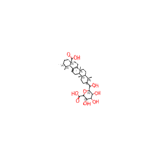 C[C@@H]1CC[C@]2(C(=O)O)CC[C@]3(C)C(=CCC4[C@@]5(C)CC[C@H](C(O)[C@@H]6OC(C(=O)O)[C@@H](O)C(O)C6O)[C@H](C)C5CC[C@]43C)C2[C@H]1C